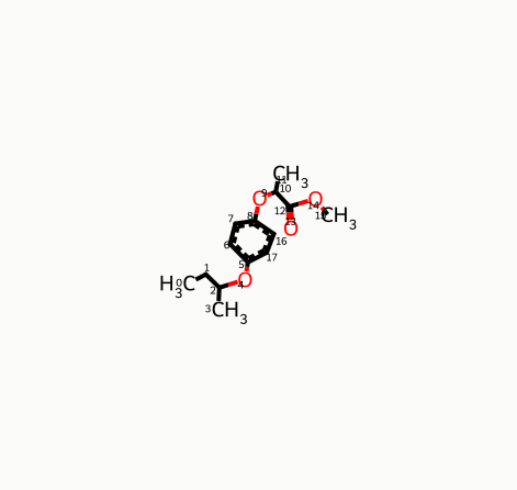 CCC(C)Oc1ccc(OC(C)C(=O)OC)cc1